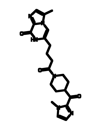 Cc1cnc2c(=O)[nH]c(CCCC(=O)N3CCC(C(=O)c4nccn4C)CC3)cn12